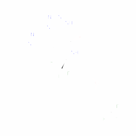 O=C1N[C@@](c2ccc(OCCCC(F)(F)F)cc2)(C(F)(F)F)CC(c2cnn(C3CCC3)c2)=C1c1nnn[nH]1